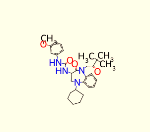 COc1cccc(NC(=O)NC2CN(C3CCCCC3)c3ccccc3N(CC(=O)C(C)(C)C)C2=O)c1